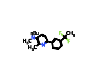 CCCCN(C)c1ccc(-c2cccc(C(C)(F)F)c2)nc1C